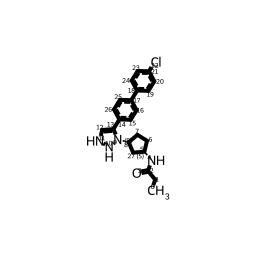 CCC(=O)N[C@H]1CC[C@@H](N2NNC=C2c2ccc(-c3ccc(Cl)cc3)cc2)C1